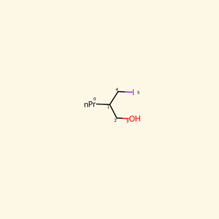 CCCC(CO)CI